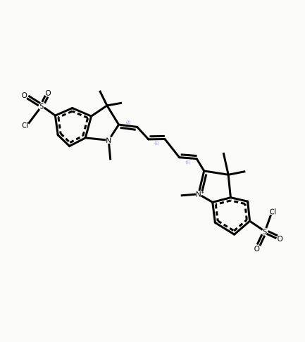 CN1\C(=C/C=C/C=C/C2=[N+](C)c3ccc(S(=O)(=O)Cl)cc3C2(C)C)C(C)(C)c2cc(S(=O)(=O)Cl)ccc21